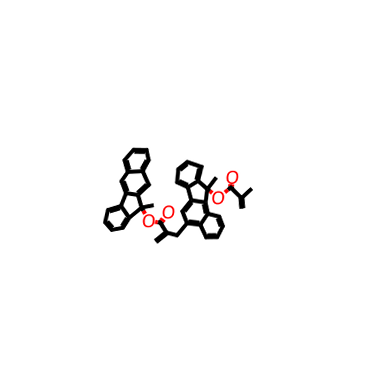 C=C(C)C(=O)OC1(C)c2ccccc2-c2cc(CC(=C)C(=O)OC3(C)c4ccccc4-c4cc5ccccc5cc43)c3ccccc3c21